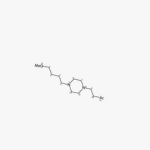 COCCCCN1CCN(CCC(C)=O)CC1